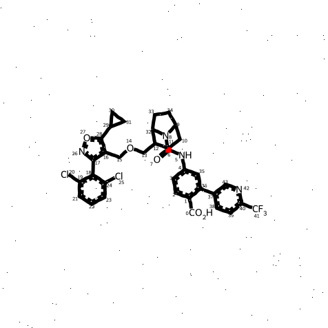 O=C(O)c1ccc(NC(=O)N2C3CCC(COCc4c(-c5c(Cl)cccc5Cl)noc4C4CC4)C2CC3)cc1-c1ccc(C(F)(F)F)nc1